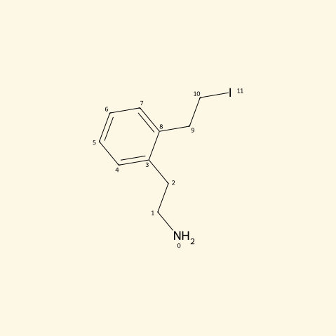 NCCc1ccccc1CCI